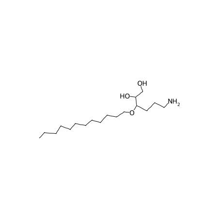 CCCCCCCCCCCCOC(CCCN)C(O)CO